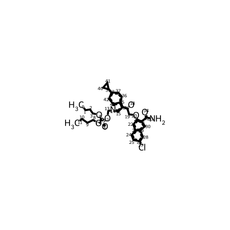 CCCCOP(=O)(OCCCC)OCn1cc(C(=O)COc2cc3ccc(Cl)cc3cc2C(N)=O)c2ccc(C3CC3)cc21